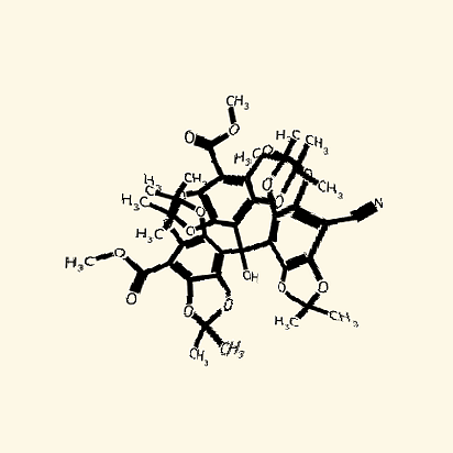 COC(=O)c1c2c(c(C(O)(c3c4c(c(C#N)c5c3OC(C)(C)O5)OC(C)(C)O4)c3c4c(c(C(=O)OC)c5c3OC(C)(C)O5)OC(C)(C)O4)c3c1OC(C)(C)O3)OC(C)(C)O2